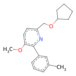 COc1ccc(COC2CCCC2)nc1-c1cccc(C)c1